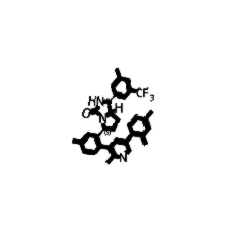 Cc1cc([C@H]2NC(=O)N3[C@H](c4cc(C)ccc4-c4cc(-c5ccc(C)cc5C)cnc4C)CC[C@@H]23)cc(C(F)(F)F)c1